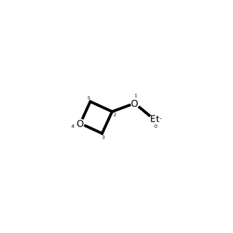 C[CH]OC1COC1